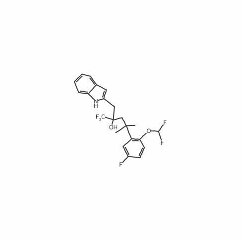 CC(C)(CC(O)(Cc1cc2ccccc2[nH]1)C(F)(F)F)c1cc(F)ccc1OC(F)F